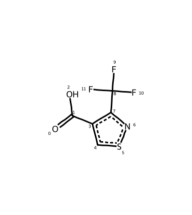 O=C(O)c1csnc1C(F)(F)F